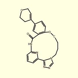 O=C1Nc2cccc(n2)-c2nncn2CCCCOc2ccc(C3=CCOCC3)cc21